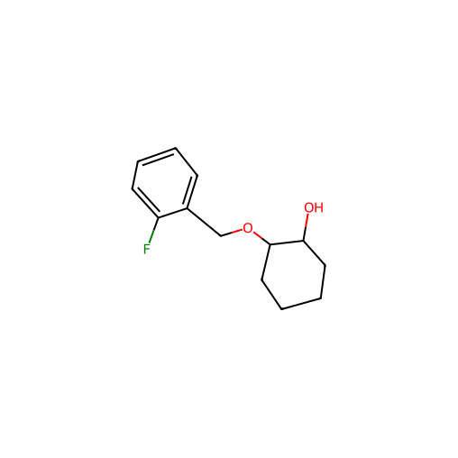 OC1CCCCC1OCc1ccccc1F